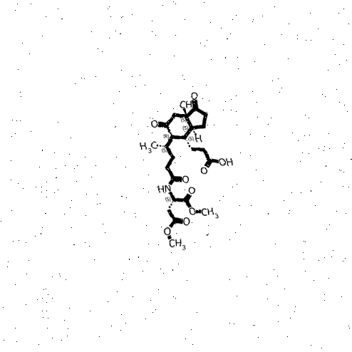 COC(=O)C[C@H](NC(=O)CC[C@H](C)[C@H]1C(=O)C[C@]2(C)C(=O)CC[C@H]2[C@@H]1CCC(=O)O)C(=O)OC